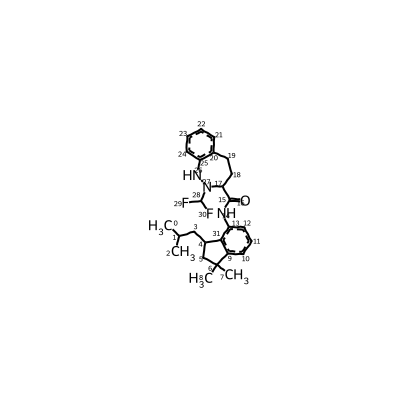 CC(C)CC1CC(C)(C)c2cccc(NC(=O)C3CCc4ccccc4NN3C(F)F)c21